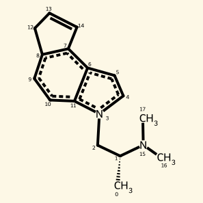 C[C@H](Cn1ccc2c3c(ccc21)CC=C3)N(C)C